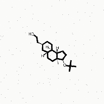 CC(C)(C)O[C@H]1CC[C@H]2[C@@H]3CC[C@H](CCO)C[C@H]3CC[C@]12C